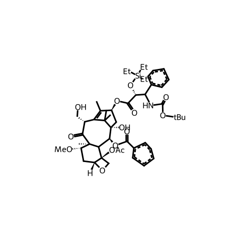 CC[Si](CC)(CC)O[C@@H](C(=O)O[C@H]1C[C@@]2(O)[C@@H](OC(=O)c3ccccc3)C3[C@](C)(C(=O)[C@H](CO)C(=C1C)C2(C)C)[C@@H](OC)C[C@H]1OC[C@@]31OC(C)=O)C(NC(=O)OC(C)(C)C)c1ccccc1